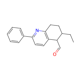 CCC1CCc2nc(-c3ccccc3)ccc2C1C=O